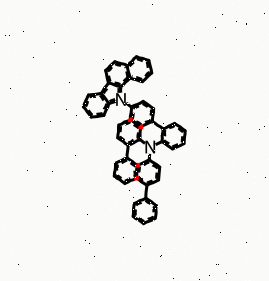 c1ccc(-c2ccc(N(c3ccccc3-c3ccccc3)c3ccccc3-c3ccc(-n4c5ccccc5c5ccc6ccccc6c54)cc3)cc2)cc1